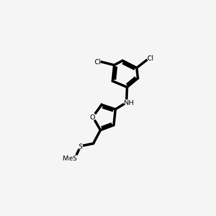 CSSCc1cc(Nc2cc(Cl)cc(Cl)c2)[c]o1